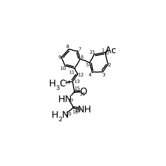 CC(=O)c1cccc(-c2ccccc2/C=C(\C)C(=O)NC(=N)N)c1